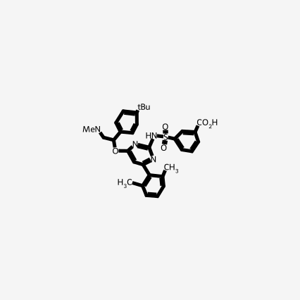 CNCC(Oc1cc(-c2c(C)cccc2C)nc(NS(=O)(=O)c2cccc(C(=O)O)c2)n1)c1ccc(C(C)(C)C)cc1